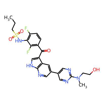 CCCS(=O)(=O)Nc1c(F)ccc(C(=O)c2c[nH]c3ncc(-c4cnc(N(C)CCO)nc4)cc23)c1F